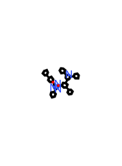 c1ccc(-c2ccc(-c3nc(-c4ccccc4)nc(-c4cc(-c5ccccc5)cc(-c5cc(-c6ccccc6)nc(-c6ccccc6)c5)c4)n3)cc2)cc1